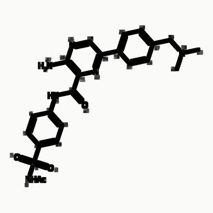 CC(=O)NS(=O)(=O)c1ccc(NC(=O)c2nc(-c3ccc(CN(C)C)cc3)cnc2N)cc1